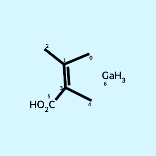 CC(C)=C(C)C(=O)O.[GaH3]